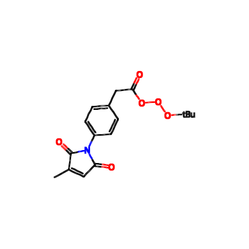 CC1=CC(=O)N(c2ccc(CC(=O)OOOC(C)(C)C)cc2)C1=O